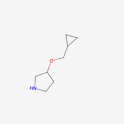 C1CC(OCC2CC2)CN1